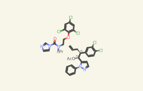 C=CC[C@@H](c1ccc(Cl)c(Cl)c1)[C@H](OC(C)=O)c1ccnn1-c1ccccc1.CCCN(CCOc1c(Cl)cc(Cl)cc1Cl)C(=O)n1ccnc1